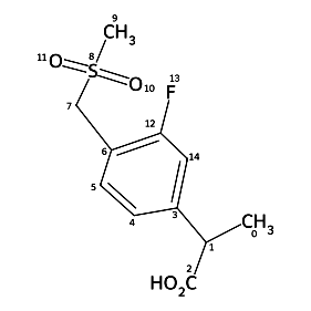 CC(C(=O)O)c1ccc(CS(C)(=O)=O)c(F)c1